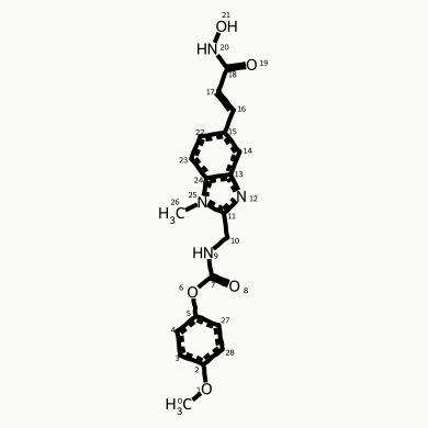 COc1ccc(OC(=O)NCc2nc3cc(/C=C/C(=O)NO)ccc3n2C)cc1